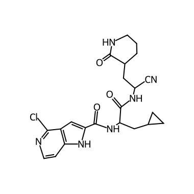 N#CC(CC1CCCNC1=O)NC(=O)C(CC1CC1)NC(=O)c1cc2c(Cl)nccc2[nH]1